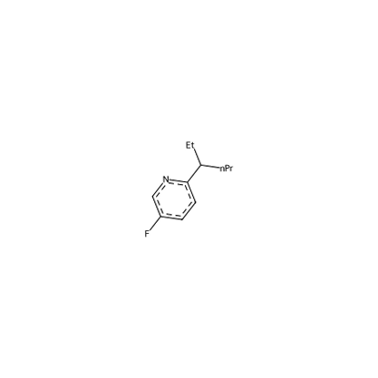 CCCC(CC)c1ccc(F)cn1